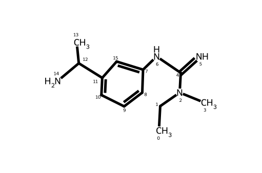 CCN(C)C(=N)Nc1cccc(C(C)N)c1